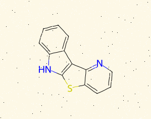 c1ccc2c(c1)[nH]c1sc3cccnc3c12